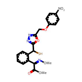 CON=C(C(=O)OC)c1ccccc1C(S)c1nnc(COc2ccc([N+](=O)[O-])cc2)o1